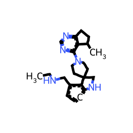 CCNCc1cccc2c1C1(CCN(c3ncnc4c3C(C)CC4)CC1)CN2